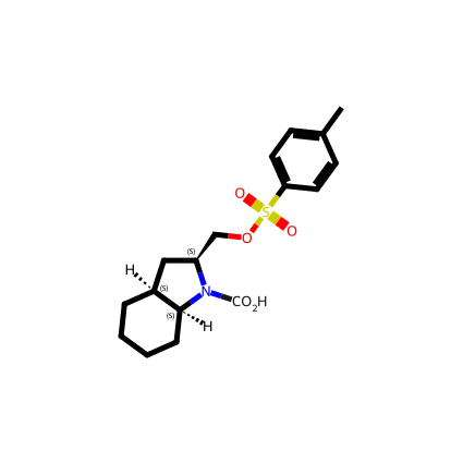 Cc1ccc(S(=O)(=O)OC[C@@H]2C[C@@H]3CCCC[C@@H]3N2C(=O)O)cc1